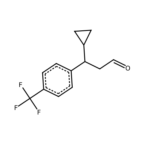 O=CCC(c1ccc(C(F)(F)F)cc1)C1CC1